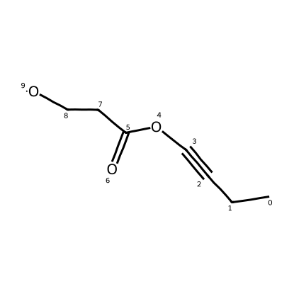 CCC#COC(=O)CC[O]